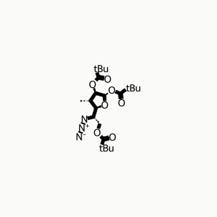 C[C@H]1[C@H]([C@H](COC(=O)C(C)(C)C)N=[N+]=[N-])O[C@@H](OC(=O)C(C)(C)C)[C@@H]1OC(=O)C(C)(C)C